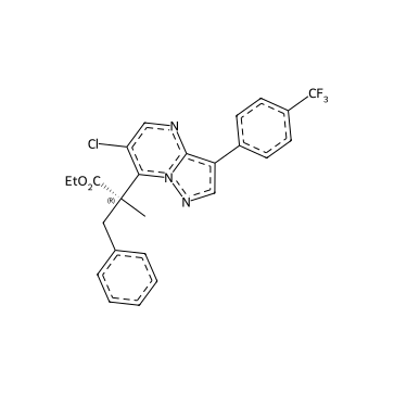 CCOC(=O)[C@](C)(Cc1ccccc1)c1c(Cl)cnc2c(-c3ccc(C(F)(F)F)cc3)cnn12